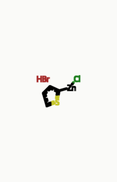 Br.[Cl][Zn][c]1cccs1